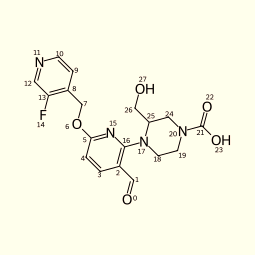 O=Cc1ccc(OCc2ccncc2F)nc1N1CCN(C(=O)O)CC1CO